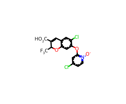 O=C(O)C1=Cc2cc(Cl)c(Oc3cc(Cl)cc[n+]3[O-])cc2OC1C(F)(F)F